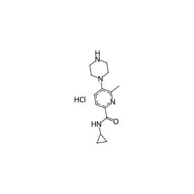 Cc1nc(C(=O)NC2CC2)ccc1N1CCNCC1.Cl